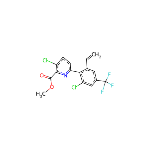 C=Cc1cc(C(F)(F)F)cc(Cl)c1-c1ccc(Cl)c(C(=O)OC)n1